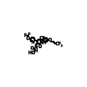 O=C(CO)NCC1=C(c2ccc(OC(F)F)cn2)C[C@](c2ccc(OCCCC(F)(F)F)cc2)(C(F)(F)F)NC1=O